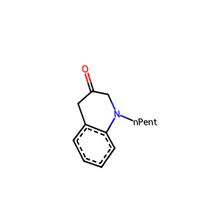 CCCCCN1CC(=O)Cc2ccccc21